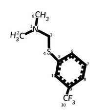 CN(C)CSc1cccc(C(F)(F)F)c1